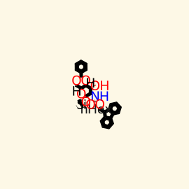 CCCCCC[Si](C)(C)O[C@@H]1O[C@@H]2COC(c3ccccc3)O[C@H]2[C@H](O)[C@H]1NC(=O)OCC1c2ccccc2-c2ccccc21